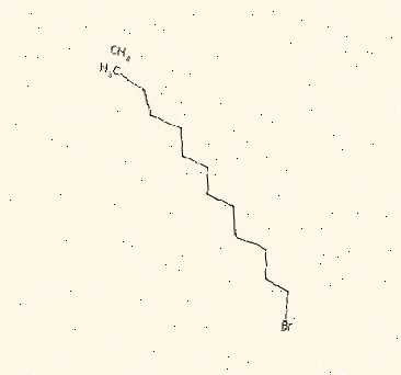 C.CCCCCCCCCCCCBr